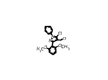 COc1cccc(OC)c1-c1nn(-c2ccccc2)c(Cl)c1C=O